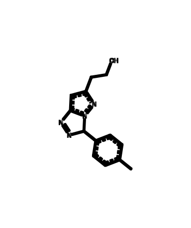 Cc1ccc(C2N=Nc3cc(CCO)nn32)cc1